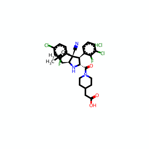 CC(C)(C)C[C@@H]1N[C@@H](C(=O)N2CCC(CC(=O)O)CC2)[C@H](c2cccc(Cl)c2F)[C@@]1(C#N)c1ccc(Cl)cc1F.Cl